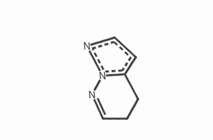 C1=Nn2nccc2CC1